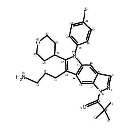 CC(C)(C)C(=O)n1ncc2cc3c(cc21)c(CCCN)c(C1CCOCC1)n3-c1ccc(F)cc1